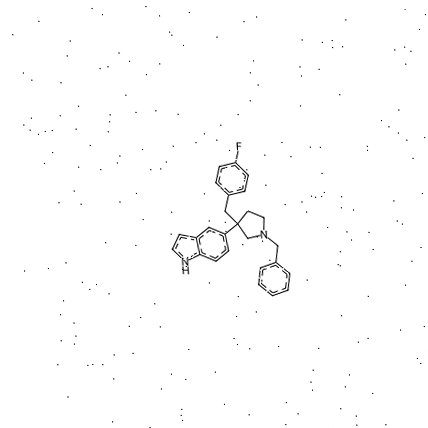 Fc1ccc(CC2(c3ccc4[nH]ccc4c3)CCN(Cc3ccccc3)C2)cc1